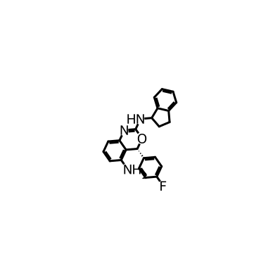 Nc1cccc2c1[C@@H](c1ccc(F)cc1)OC(NC1CCc3ccccc31)=N2